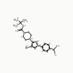 CC(C)(C)OC(=O)N1CCN(c2nn(-c3ccc(C(F)F)cc3)cc2Br)CC1